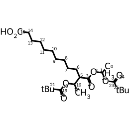 CC(OC(=O)C(CCCCCCCCCC(=O)O)C(C)OC(=O)C(C)(C)C)OC(=O)C(C)(C)C